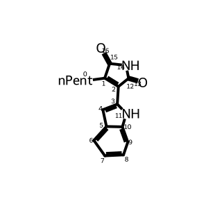 CCCCCC1=C(c2cc3ccccc3[nH]2)C(=O)NC1=O